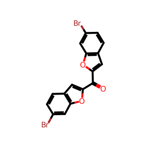 O=C(c1cc2ccc(Br)cc2o1)c1cc2ccc(Br)cc2o1